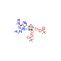 CNc1nc(N)nc2c1N=CC2[C@@H]1O[C@H](COCOC(=O)C(C)(C)C)[C@@H](OCOC(=O)C(C)(C)C)[C@@]1(C)F